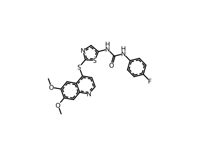 COc1cc2nccc(Sc3ncc(NC(=O)Nc4ccc(F)cc4)s3)c2cc1OC